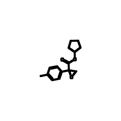 Cc1ccc(C2(C(=O)OC3CCCC3)CO2)cc1